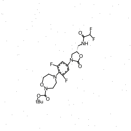 CC(C)(C)OC(=O)N1CCN(c2c(F)cc(N3C[C@H](CNC(=O)C(F)F)OC3=O)cc2F)CCO1